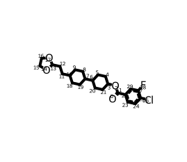 O=C(OC1CCC(C2CCC(CCC3OCCO3)CC2)CC1)c1ccc(Cl)c(F)c1